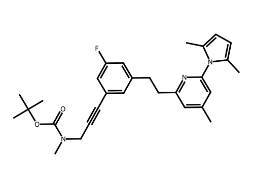 Cc1cc(CCc2cc(F)cc(C#CCN(C)C(=O)OC(C)(C)C)c2)nc(-n2c(C)ccc2C)c1